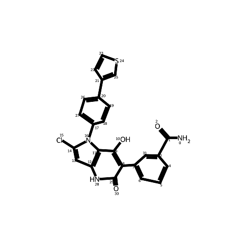 NC(=O)c1cccc(-c2c(O)c3c(cc(Cl)n3-c3ccc(-c4ccsc4)cc3)[nH]c2=O)c1